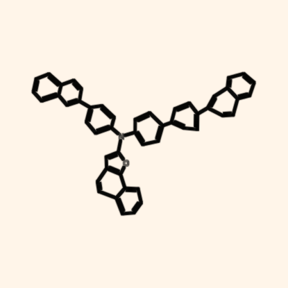 c1ccc2cc(-c3ccc(-c4ccc(N(c5ccc(-c6ccc7ccccc7c6)cc5)c5cc6ccc7ccccc7c6o5)cc4)cc3)ccc2c1